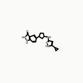 O=c1[nH][nH]c2ccc(C3CCC(Nc4cc(C5CC5)[nH]n4)C3)cc12